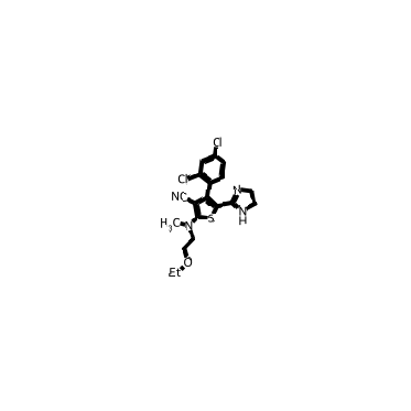 CCOCCN(C)c1sc(C2=NCCN2)c(-c2ccc(Cl)cc2Cl)c1C#N